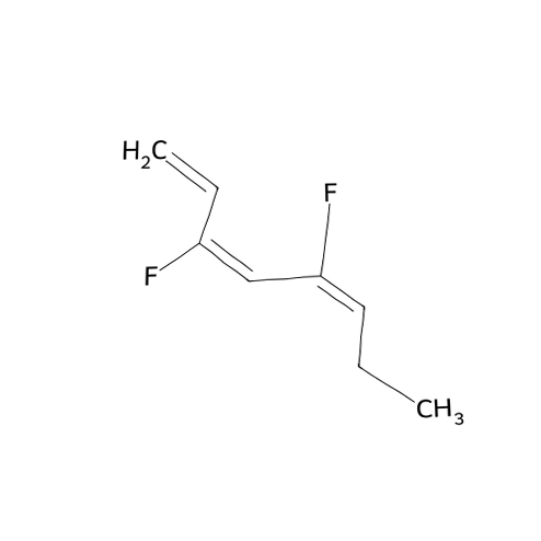 C=C/C(F)=C\C(F)=C/CC